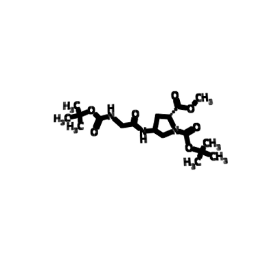 COC(=O)[C@H]1CC(NC(=O)CNC(=O)OC(C)(C)C)CN1C(=O)OC(C)(C)C